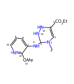 CCOC(=O)C1=CN(C)C(Nc2cccnc2OC)NN1